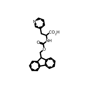 O=C(NC(Cc1cccnc1)C(=O)O)OCC1c2ccccc2-c2ccccc21